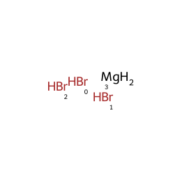 Br.Br.Br.[MgH2]